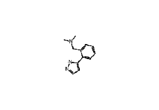 CN(C)Cc1ccccc1C1=CC=N[N]1